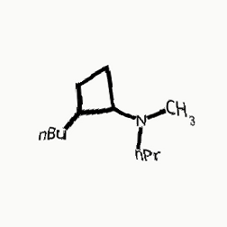 CCCCC1CCC1N(C)CCC